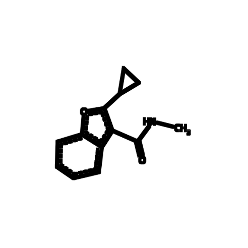 CNC(=O)c1c(C2CC2)oc2ccccc12